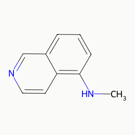 CNc1cccc2cnccc12